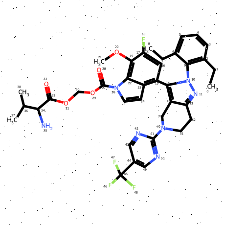 CCc1cccc(CC)c1-n1nc2c(c1-c1cc(F)c(OC)c3c1ccn3C(=O)OCOC(=O)C(N)C(C)C)CN(c1ncc(C(F)(F)F)cn1)CC2